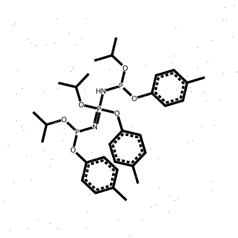 Cc1ccc(OP(N=P(NP(Oc2ccc(C)cc2)OC(C)C)(Oc2ccc(C)cc2)OC(C)C)OC(C)C)cc1